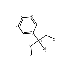 CCC(S)(CC)c1ccccc1